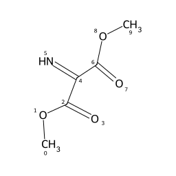 COC(=O)C(=N)C(=O)OC